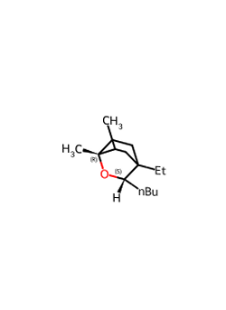 CCCC[C@@H]1O[C@]2(C)CCC1(CC)CC2C